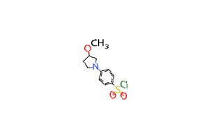 CO[C@@H]1CCN(c2ccc(S(=O)(=O)Cl)cc2)C1